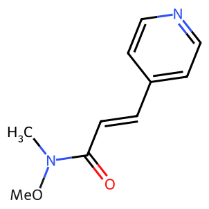 CON(C)C(=O)/C=C/c1ccncc1